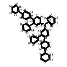 c1ccc(-c2ccc(-c3ccc(N(c4ccccc4)c4ccc(-c5ccc(-c6ccccc6)cc5)c(-c5ccccc5)c4)cc3-c3ccccc3)cc2)cc1